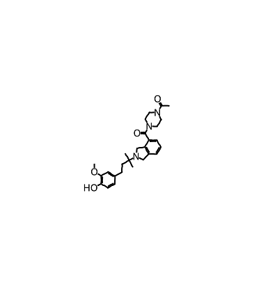 COc1cc(CCC(C)(C)N2Cc3cccc(C(=O)N4CCN(C(C)=O)CC4)c3C2)ccc1O